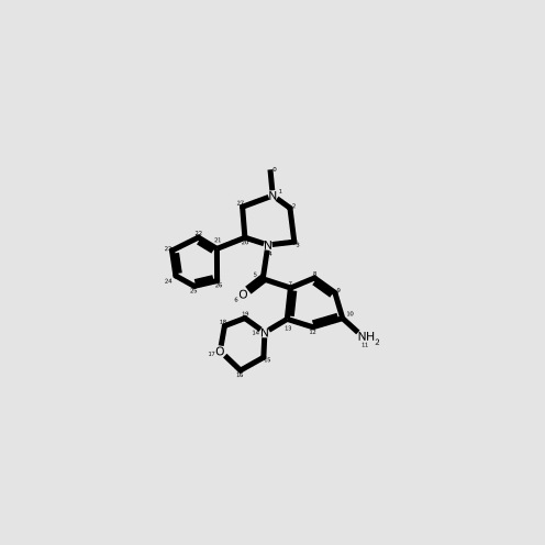 CN1CCN(C(=O)c2ccc(N)cc2N2CCOCC2)C(c2ccccc2)C1